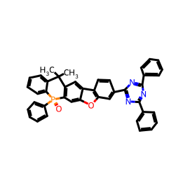 CC1(C)c2ccccc2P(=O)(c2ccccc2)c2cc3oc4cc(-c5nc(-c6ccccc6)nc(-c6ccccc6)n5)ccc4c3cc21